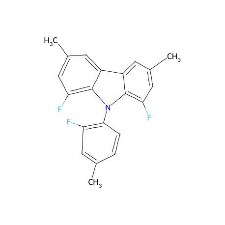 Cc1ccc(-n2c3c(F)cc(C)cc3c3cc(C)cc(F)c32)c(F)c1